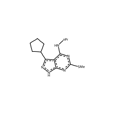 CCCNc1nc(SC)nc2[nH]nc(C3CCCC3)c12